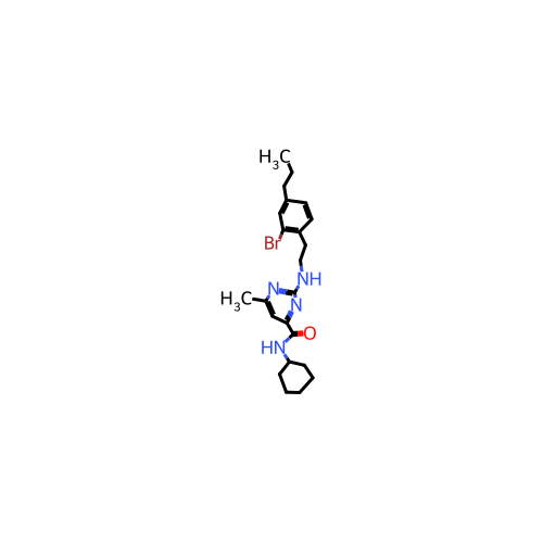 CCCc1ccc(CCNc2nc(C)cc(C(=O)NC3CCCCC3)n2)c(Br)c1